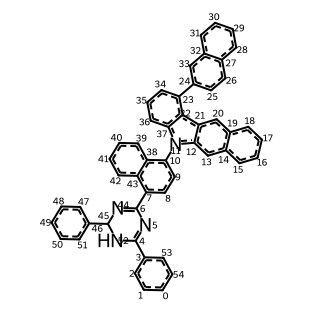 c1ccc(C2=NC(c3ccc(-n4c5cc6ccccc6cc5c5c(-c6ccc7ccccc7c6)cccc54)c4ccccc34)=NC(c3ccccc3)N2)cc1